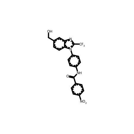 O=C(Nc1ccc(-n2c(C(F)(F)F)nc3cc(CO)ccc32)cc1)c1ccc([N+](=O)[O-])cc1